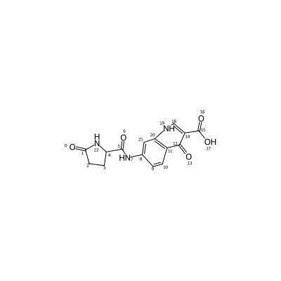 O=C1CCC(C(=O)Nc2ccc3c(=O)c(C(=O)O)c[nH]c3c2)N1